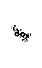 Cc1nnc2n1-c1c(cc(F)c(-c3cccc4c3ccn4CC(F)F)c1F)NC2(C)C